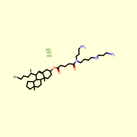 CC(C)CCC[C@@H](C)C1C=C2CC(OC(=O)CCCC(=O)N(CCCN)CCCCNCCCN)CCC2(C)C2CCC3(C)CCCC3C12.Cl.Cl.Cl